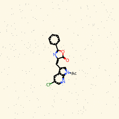 CC(=O)n1cc(C=C2N=C(c3ccccc3)OC2=O)c2cc(Cl)cnc21